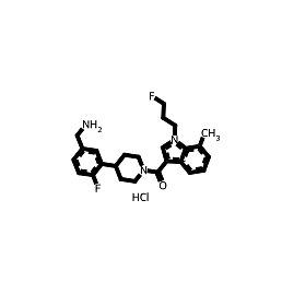 Cc1cccc2c(C(=O)N3CCC(c4cc(CN)ccc4F)CC3)cn(CCCF)c12.Cl